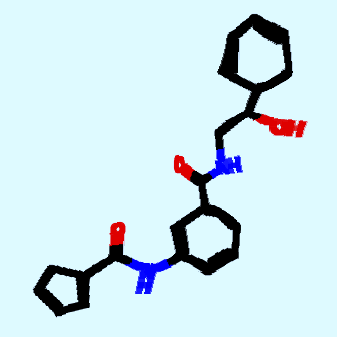 O=C(Nc1cccc(C(=O)NC[C@H](O)c2ccccc2)c1)C1=CC=CC1